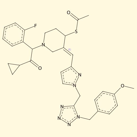 COc1ccc(Cn2nnnc2Cn2ccc(/C=C3\CN(C(C(=O)C4CC4)c4ccccc4F)CCC3SC(C)=O)n2)cc1